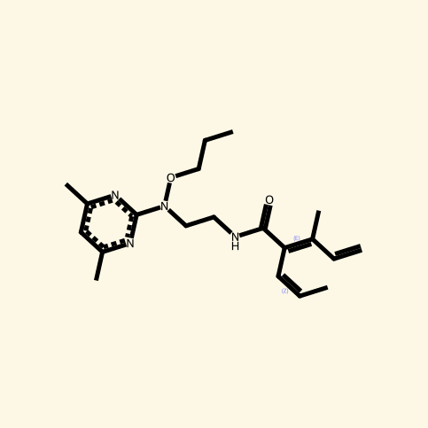 C=C/C(C)=C(\C=C/C)C(=O)NCCN(OCCC)c1nc(C)cc(C)n1